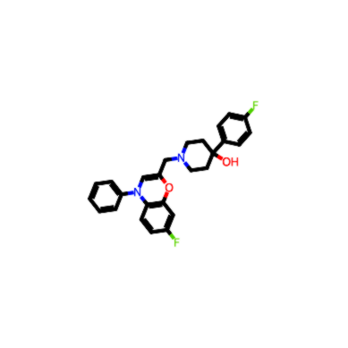 OC1(c2ccc(F)cc2)CCN(CC2=CN(c3ccccc3)c3ccc(F)cc3O2)CC1